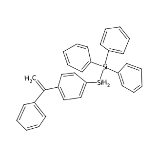 C=C(c1ccccc1)c1ccc([SiH2][Si](c2ccccc2)(c2ccccc2)c2ccccc2)cc1